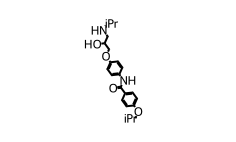 CC(C)NCC(O)COc1ccc(NC(=O)c2ccc(OC(C)C)cc2)cc1